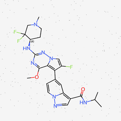 COc1nc(N[C@@H]2CCN(C)CC2(F)F)nn2cc(F)c(-c3ccn4ncc(C(=O)NC(C)C)c4c3)c12